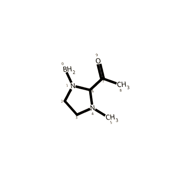 BN1CCN(C)C1C(C)=O